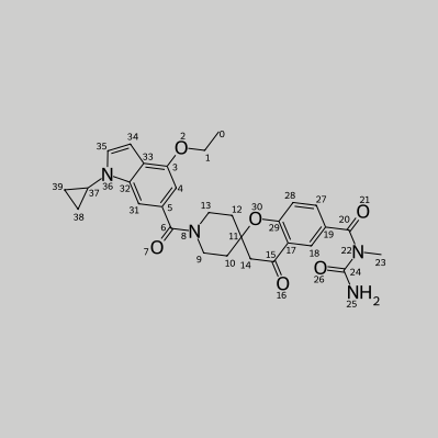 CCOc1cc(C(=O)N2CCC3(CC2)CC(=O)c2cc(C(=O)N(C)C(N)=O)ccc2O3)cc2c1ccn2C1CC1